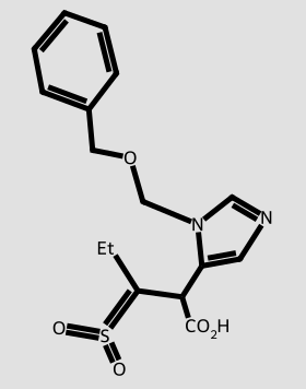 CCC(C(C(=O)O)c1cncn1COCc1ccccc1)=S(=O)=O